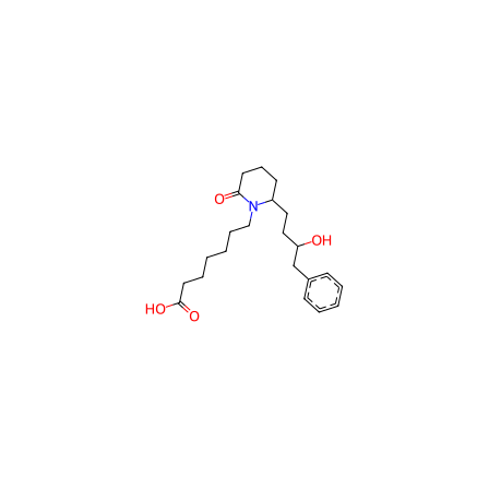 O=C(O)CCCCCCN1C(=O)CCCC1CCC(O)Cc1ccccc1